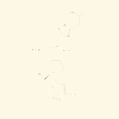 CC(O)Cc1nnc2n1CCN([C@H]1CC[C@@](CN)(c3cccc(Cl)c3)CC1)C2=O.Cl.Cl